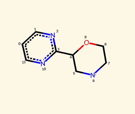 c1cnc(C2C[N]CCO2)nc1